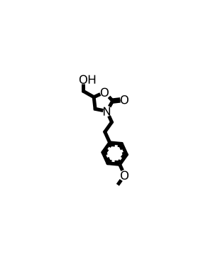 COc1ccc(CCN2CC(CO)OC2=O)cc1